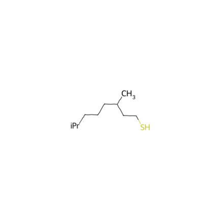 CC(C)CCCC(C)CCS